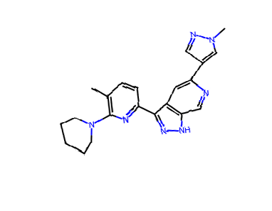 Cc1ccc(-c2n[nH]c3cnc(-c4cnn(C)c4)cc23)nc1N1CCCCC1